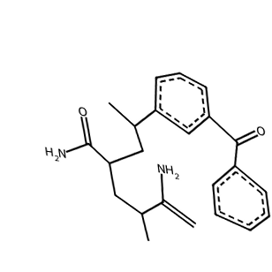 C=C(N)C(C)CC(CC(C)c1cccc(C(=O)c2ccccc2)c1)C(N)=O